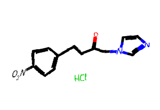 Cl.O=C(CCc1ccc([N+](=O)[O-])cc1)Cn1ccnc1